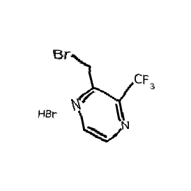 Br.FC(F)(F)c1nccnc1CBr